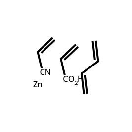 C=CC#N.C=CC(=O)O.C=CC=C.[Zn]